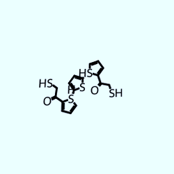 O=C(CS)C1=CC=C[SH]1c1ccc([SH]2C=CC=C2C(=O)CS)s1